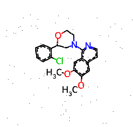 COc1cc2ccnc(N3CCOC(c4ccccc4Cl)C3)c2cc1OC